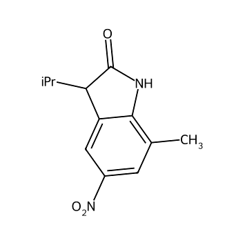 Cc1cc([N+](=O)[O-])cc2c1NC(=O)C2C(C)C